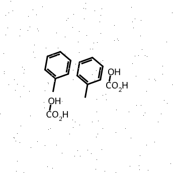 Cc1ccccc1.Cc1ccccc1.O=C(O)O.O=C(O)O